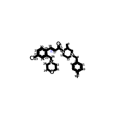 CC1CN(Cc2ccc(F)cc2)CCN1C(=O)/C=C/c1ccc(Cl)cc1CN1CCOCC1